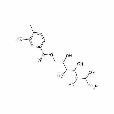 Cc1ccc(C(=O)OCC(O)C(O)C(O)C(O)C(O)C(=O)O)cc1O